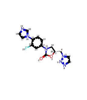 O=C1O[C@@H](Cn2ccnn2)CN1c1ccc(-n2ccnc2)c(F)c1